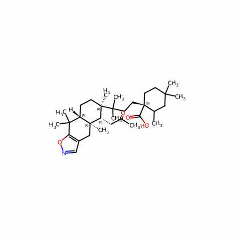 CC(=O)C[C@@H]1[C@@]2(C)Cc3cnoc3C(C)(C)[C@@H]2CC[C@@]1(C)C(C)(C)CC[C@@]1(C(=O)O)CCC(C)(C)CC1C